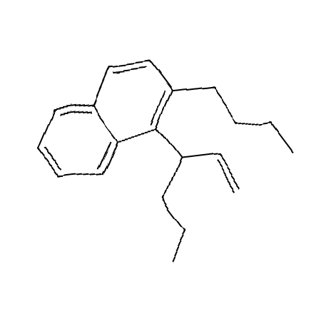 C=CC(CCC)c1c(CCCC)ccc2ccccc12